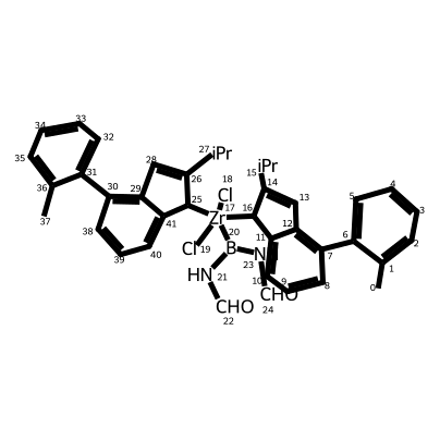 Cc1ccccc1-c1cccc2c1C=C(C(C)C)[CH]2[Zr]([Cl])([Cl])([B](NC=O)NC=O)[CH]1C(C(C)C)=Cc2c(-c3ccccc3C)cccc21